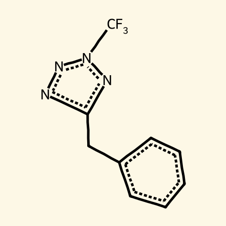 FC(F)(F)n1nnc(Cc2ccccc2)n1